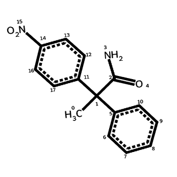 CC(C(N)=O)(c1ccccc1)c1ccc([N+](=O)[O-])cc1